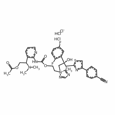 CC(=O)OCC(c1cccnc1NC(=O)OCC[N+]1(C[C@](O)(c2cc(F)ccc2F)[C@@H](C)c2nc(-c3ccc(C#N)cc3)cs2)C=NC=N1)N(C)C.Cl.Cl.[Cl-]